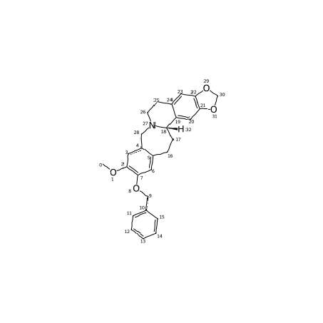 COc1cc2c(cc1OCc1ccccc1)CC[C@H]1c3cc4c(cc3CCN1C2)OCO4